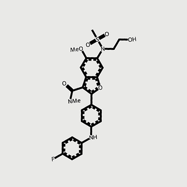 CNC(=O)c1c(-c2ccc(Nc3ccc(F)cc3)cc2)oc2cc(N(CCO)S(C)(=O)=O)c(OC)cc12